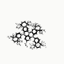 Cc1cc2c3c(n1)N(c1ccc4c(c1)C(C)(C)CCC4(C)C)c1cc4c(cc1B3c1cc3c(cc1N2c1ccc2c(c1)C(C)(C)CCC2(C)C)C(C)(C)CCC3(C)C)C(C)(C)CCC4(C)C